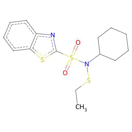 CCSN(C1CCCCC1)S(=O)(=O)c1nc2ccccc2s1